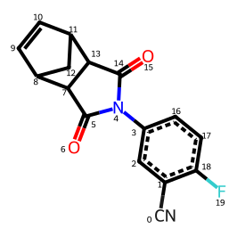 N#Cc1cc(N2C(=O)C3C4C=CC(C4)C3C2=O)ccc1F